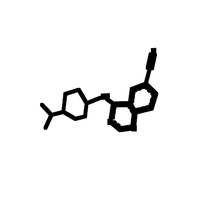 CC(C)C1CCC(Nc2ncnc3ccc(C#N)cc23)CC1